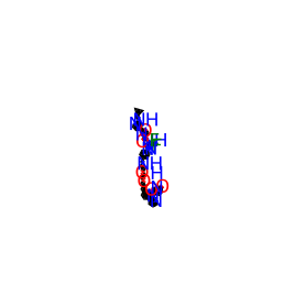 O=C1CCC(n2c3cc(CCCOCCOCCNC[C@H]4CC[C@H](n5cc(NC(=O)c6coc(-c7ccnc(NCC8CC8)c7)n6)c(C(F)F)n5)CC4)ccc3c3cccnc32)C(=O)N1